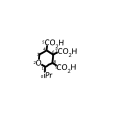 CC(C)C1OCC(C(=O)O)C(C(=O)O)C1C(=O)O